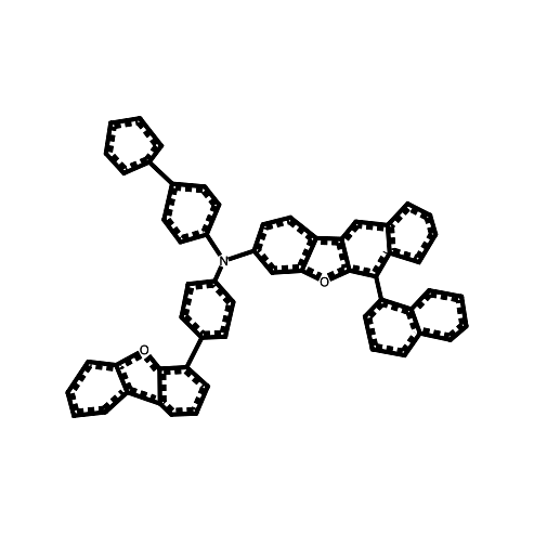 c1ccc(-c2ccc(N(c3ccc(-c4cccc5c4oc4ccccc45)cc3)c3ccc4c(c3)oc3c(-c5cccc6ccccc56)c5ccccc5cc34)cc2)cc1